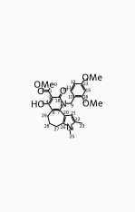 COC(=O)c1c(O)c2c(n(Cc3ccc(OC)cc3OC)c1=O)-c1cc(C)n(C)c1CCC2